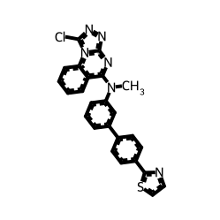 CN(c1cccc(-c2ccc(-c3nccs3)cc2)c1)c1nc2nnc(Cl)n2c2ccccc12